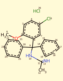 COc1ccc(Cl)cc1C(NC(C)=N)(c1ccccc1)c1ccccc1.Cl